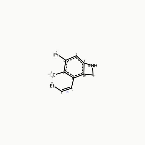 CC/C=C\c1c(C)c(C(C)C)cc2c1CN2